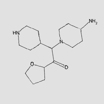 NC1CCN(C(C(=O)C2CCCO2)C2CCNCC2)CC1